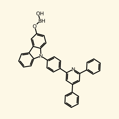 OBOc1ccc2c(c1)c1ccccc1n2-c1ccc(-c2cc(-c3ccccc3)cc(-c3ccccc3)n2)cc1